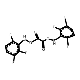 O=C(OBc1c(F)ccc(F)c1F)C(=O)OBc1c(F)ccc(F)c1F